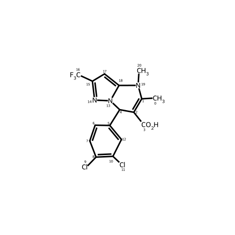 CC1=C(C(=O)O)C(c2ccc(Cl)c(Cl)c2)n2nc(C(F)(F)F)cc2N1C